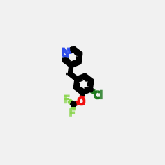 FC(F)Oc1cc([CH]c2cccnc2)ccc1Cl